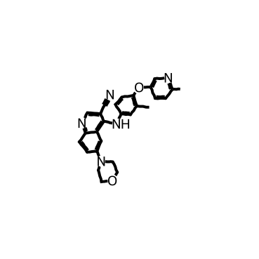 Cc1ccc(Oc2ccc(Nc3c(C#N)cnc4ccc(N5CCOCC5)cc34)cc2C)cn1